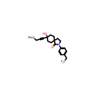 COCC#CC1(O)CCC2(CCN(c3ccc(CC(F)(F)F)cc3)C2=O)CC1